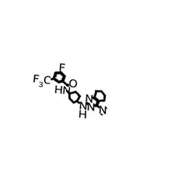 CN(C)c1nc(NC2CCC(NC(=O)c3cc(F)cc(C(F)(F)F)c3)CC2)nc2c1CCCC2